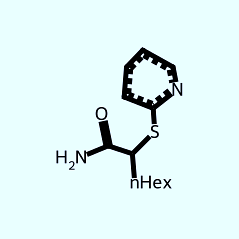 CCCCCCC(Sc1ccccn1)C(N)=O